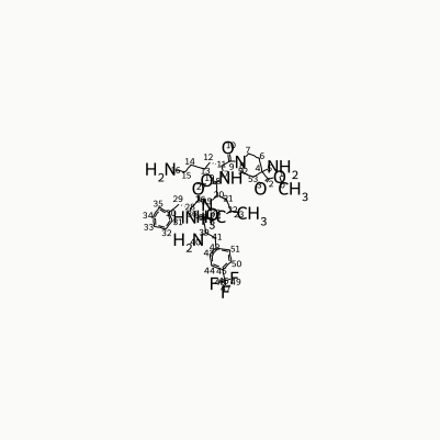 COC(=O)C1(N)CCN(C(=O)[C@@H](CCCCN)NC(=O)[C@@H](CC(C)C)NC(=O)[C@@H](Cc2ccccc2)NC(=O)[C@H](N)Cc2ccc(C(F)(F)F)cc2)CC1